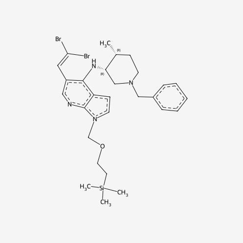 C[C@@H]1CCN(Cc2ccccc2)C[C@@H]1Nc1c(C=C(Br)Br)cnc2c1ccn2COCC[Si](C)(C)C